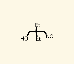 CCC(CC)(CO)CN=O